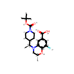 C[C@@H]1CN([C@@H](C)C2CCN(C(=O)OC(C)(C)C)CC2)c2cc(C(=O)O)cc(F)c2O1